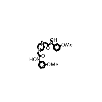 COc1cccc(N(O)C(=O)CN2CC[N+](C)(CC(=O)N(O)c3cccc(OC)c3)CC2)c1